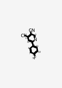 N#Cc1cnc(-c2ccc(F)cc2)cc1Cl